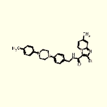 CCc1nc2cc(C)ccn2c1C(=O)NCc1ccc(N2CCN(c3ccc(C)cc3)CC2)cc1